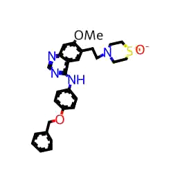 COc1cc2ncnc(Nc3ccc(OCc4ccccc4)cc3)c2cc1CCN1CC[S+]([O-])CC1